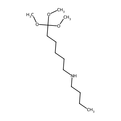 CCCCNCCCCCC(OC)(OC)OC